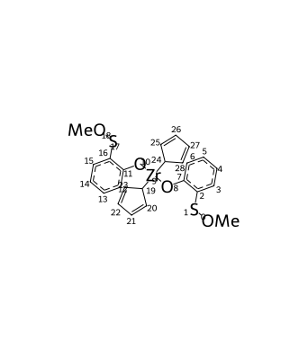 COSc1ccccc1[O][Zr]([O]c1ccccc1SOC)([CH]1C=CC=C1)[CH]1C=CC=C1